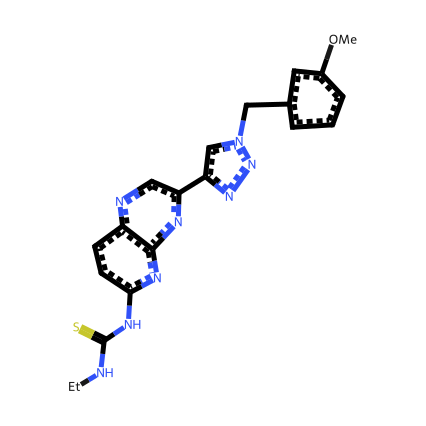 CCNC(=S)Nc1ccc2ncc(-c3cn(Cc4cccc(OC)c4)nn3)nc2n1